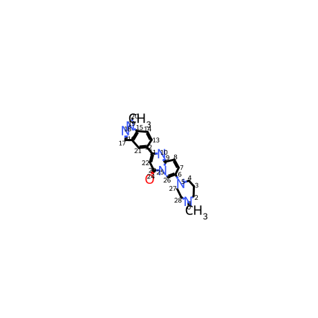 CN1CCCN(c2ccc3nc(-c4ccc5c(cnn5C)c4)cc(=O)n3c2)CC1